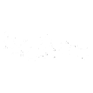 Cc1ncc(Cl)cc1C(=O)N[C@H]1CC[C@H](Cn2c(=O)n(-c3ccc(O[C@H]4CCOC4)nc3)c3ccccc32)CC1